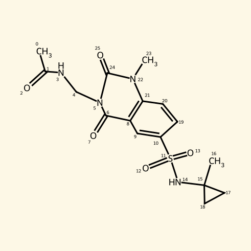 CC(=O)NCn1c(=O)c2cc(S(=O)(=O)NC3(C)CC3)ccc2n(C)c1=O